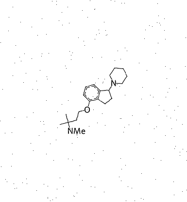 CNC(C)(C)CCOc1cccc2c1CCC2N1CCCCC1